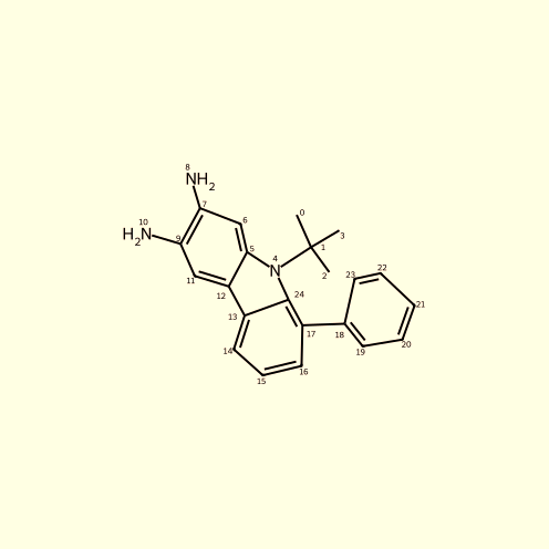 CC(C)(C)n1c2cc(N)c(N)cc2c2cccc(-c3ccccc3)c21